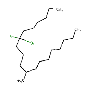 [CH2]C(CCCCCCCC)CCCC(Br)(Br)CCCCCC